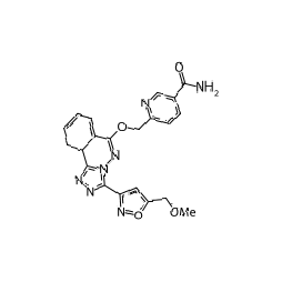 COCc1cc(-c2nnc3n2N=C(OCc2ccc(C(N)=O)cn2)C2=CC=CCC23)no1